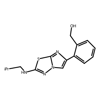 CC(C)CNc1nn2cc(-c3ccccc3CO)nc2s1